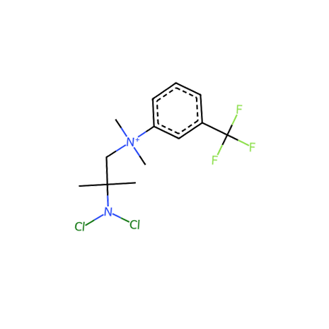 CC(C)(C[N+](C)(C)c1cccc(C(F)(F)F)c1)N(Cl)Cl